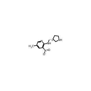 Cc1cnc(NC[C@@H]2CCNC2)c([N+](=O)[O-])c1